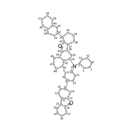 c1ccc(N(c2ccc(-c3ccc4c(c3)oc3ccccc34)cc2)c2cc3c4cccc(-c5ccc6ccccc6c5)c4oc3c3ccccc23)cc1